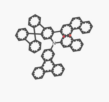 c1ccc2c(c1)-c1ccccc1C21c2ccccc2-c2cc(-c3ccc4c(ccc5ccccc54)c3)c(N(c3ccc4ccccc4c3)c3ccc4c5ccccc5c5ccccc5c4c3)cc21